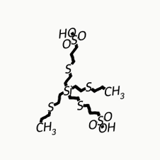 CCCSCC[Si](CCSCCC)(CCSCCCS(=O)(=O)O)CCSCCCS(=O)(=O)O